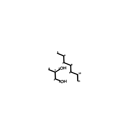 CC(O)CO.CCCCCCC